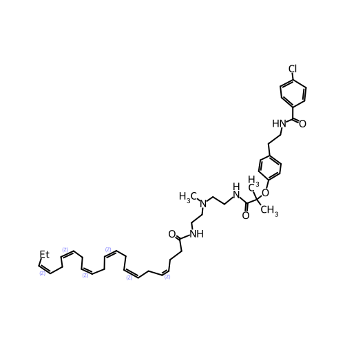 CC/C=C\C/C=C\C/C=C\C/C=C\C/C=C\C/C=C\CCC(=O)NCCN(C)CCNC(=O)C(C)(C)Oc1ccc(CCNC(=O)c2ccc(Cl)cc2)cc1